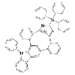 c1ccc(-n2c3ccccc3c3cc4cc(c5ccccc5c5nc([Si](c6ccccc6)(c6ccccc6)c6ccccc6)nc(n5)c5ccccc45)c32)cc1